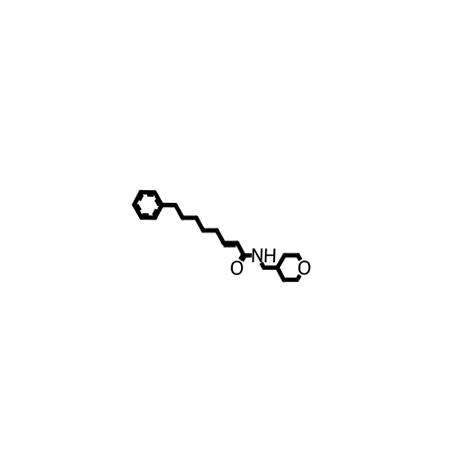 O=C(C=CCCCCCc1ccccc1)NCC1CCOCC1